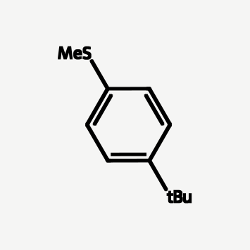 CSc1ccc(C(C)(C)C)cc1